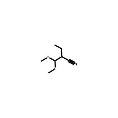 CCC(C#N)C(OC)OC